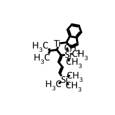 C[C](C)[CH]([Ti][CH]1C=Cc2ccccc21)C(=CC=C[Si](C)(C)C)[Si](C)(C)C